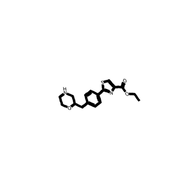 CCOC(=O)c1csc(-c2ccc(CC3CNCCO3)cc2)n1